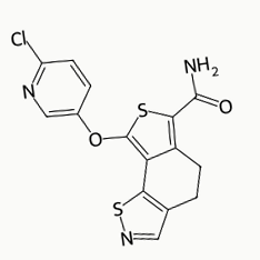 NC(=O)c1sc(Oc2ccc(Cl)nc2)c2c1CCc1cnsc1-2